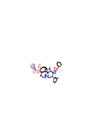 COc1ccc2c(c1OCC(=O)N1CCOCC1)CCN1C[C@H](c3cccc(C)c3)C(=NOCc3ccccc3)C[C@@H]21